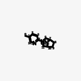 Cc1ccc(N2CC3CCC(C2)N3)nc1